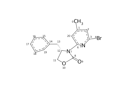 Cc1cc(Br)nc(N2C(=O)OC[C@@H]2Cc2ccccc2)c1